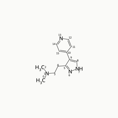 CN(C)CCc1n[nH]cc1-c1ccncc1